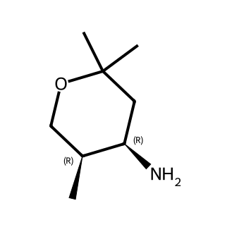 C[C@H]1COC(C)(C)C[C@H]1N